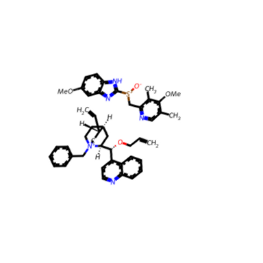 C=CCO[C@H](c1ccnc2ccccc12)[C@@H]1C[C@@H]2CC[N+]1(Cc1ccccc1)C[C@@H]2C=C.COc1ccc2[nH]c([S+]([O-])Cc3ncc(C)c(OC)c3C)nc2c1